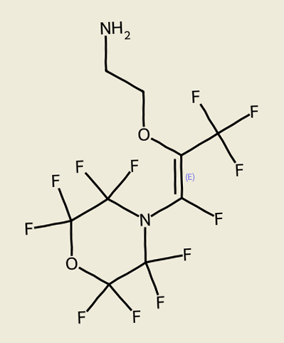 NCCO/C(=C(/F)N1C(F)(F)C(F)(F)OC(F)(F)C1(F)F)C(F)(F)F